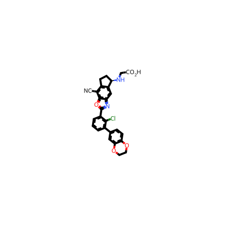 N#Cc1c2c(cc3nc(-c4cccc(-c5ccc6c(c5)OCCO6)c4Cl)oc13)[C@H](NCC(=O)O)CC2